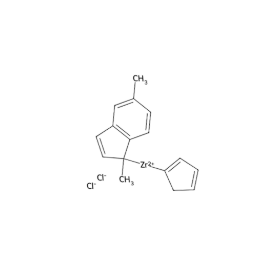 Cc1ccc2c(c1)C=C[C]2(C)[Zr+2][C]1=CC=CC1.[Cl-].[Cl-]